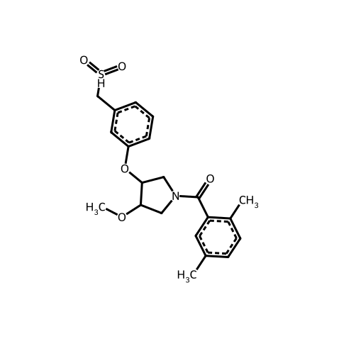 COC1CN(C(=O)c2cc(C)ccc2C)CC1Oc1cccc(C[SH](=O)=O)c1